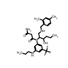 CCCNc1cc(N(C(=O)CC(N)=O)C(CNCc2ccc(C)cc2C)C(O)CCC)cc(C(F)(F)F)c1